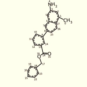 Cc1cc(N)cc2cc(-c3cccc(C(=O)OCc4ccccc4)c3)ccc12